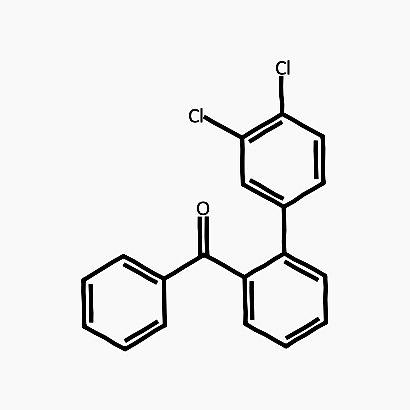 O=C(c1ccccc1)c1ccccc1-c1ccc(Cl)c(Cl)c1